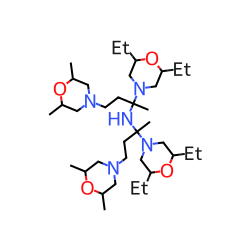 CCC1CN(C(C)(CCN2CC(C)OC(C)C2)NC(C)(CCN2CC(C)OC(C)C2)N2CC(CC)OC(CC)C2)CC(CC)O1